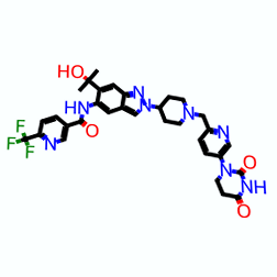 CC(C)(O)c1cc2nn(C3CCN(Cc4ccc(N5CCC(=O)NC5=O)cn4)CC3)cc2cc1NC(=O)c1ccc(C(F)(F)F)nc1